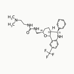 CN(C)CCNC(=O)NC[C@H]1CC[C@@H]2C(O1)c1cc(C(F)(F)F)ccc1N[C@@H]2c1ccccc1